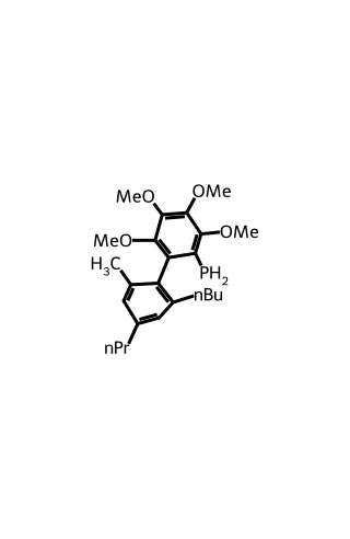 CCCCc1cc(CCC)cc(C)c1-c1c(P)c(OC)c(OC)c(OC)c1OC